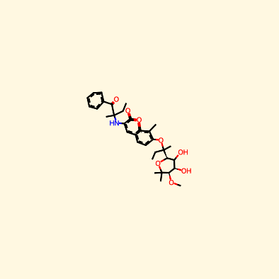 CCC(C)(Nc1cc2ccc(OC(C)(CC)[C@@H]3OC(C)(C)[C@H](OC)[C@H](O)C3O)c(C)c2oc1=O)C(=O)c1ccccc1